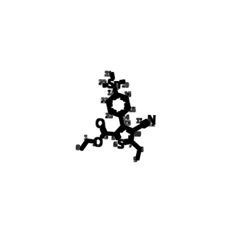 CCOC(=O)c1sc(CC)c(C#N)c1-c1cc[c]([Sn]([CH3])([CH3])[CH3])cc1